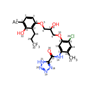 CC(=O)c1ccc(OCC(O)COc2cc(NC(=O)c3nnn[nH]3)c(C)cc2Cl)c(CCC(F)(F)F)c1O